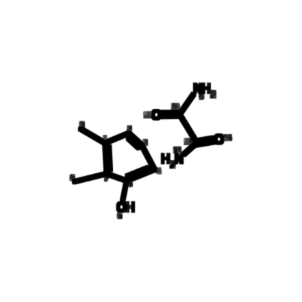 Cc1cccc(O)c1C.NC(=O)C(N)=O